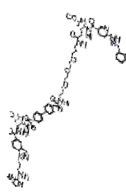 O=C(CCC(NC(=O)c1ccc(N/N=C/c2ccccc2S(=O)(=O)O)nc1)C(=O)O)NCCCOCCOCCOCCCNS(=O)(=O)c1ccc(-c2ccc(S(=O)(=O)NC(CNC(=O)c3ccc4c(cnn4CCCNc4ncc[nH]4)c3)C(=O)O)cc2)cc1